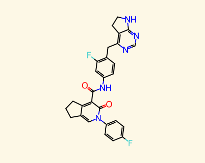 O=C(Nc1ccc(Cc2ncnc3c2CCN3)c(F)c1)c1c2c(cn(-c3ccc(F)cc3)c1=O)CCC2